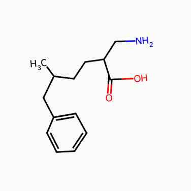 CC(CCC(CN)C(=O)O)Cc1ccccc1